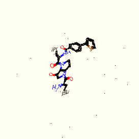 CC(C)CC(NC(=O)c1ccc(-c2cccs2)cc1)C(=O)N1CCC2C1C(=O)CN2C(=O)C(N)CC(C)(C)C